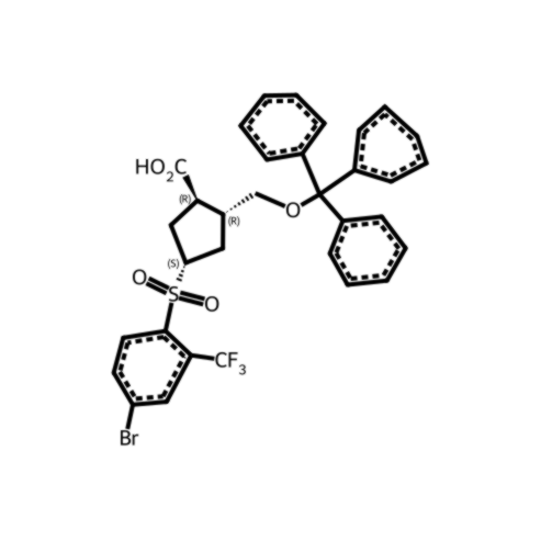 O=C(O)[C@@H]1C[C@@H](S(=O)(=O)c2ccc(Br)cc2C(F)(F)F)C[C@H]1COC(c1ccccc1)(c1ccccc1)c1ccccc1